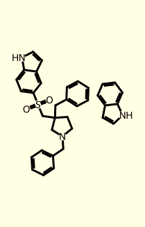 O=S(=O)(CC1(Cc2ccccc2)CCN(Cc2ccccc2)C1)c1ccc2[nH]ccc2c1.c1ccc2[nH]ccc2c1